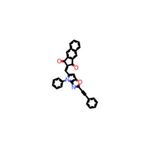 O=C1C(=Cc2cc3oc(C#Cc4ccccc4)nc3n2-c2ccccc2)C(=O)c2cc3ccccc3cc21